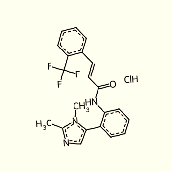 Cc1ncc(-c2ccccc2NC(=O)C=Cc2ccccc2C(F)(F)F)n1C.Cl